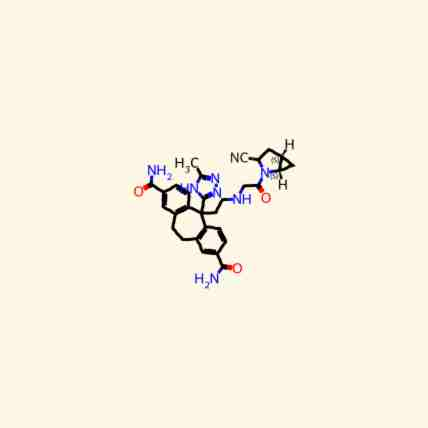 Cc1nnc(C2(CCNCC(=O)N3C(C#N)C[C@@H]4C[C@@H]43)c3ccc(C(N)=O)cc3CCc3cc(C(N)=O)ccc32)[nH]1